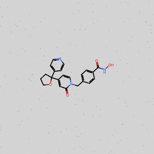 O=C(NO)c1ccc(Cn2ccc(C3(c4ccncc4)CCCO3)cc2=O)cc1